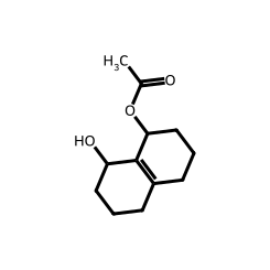 CC(=O)OC1CCCC2=C1C(O)CCC2